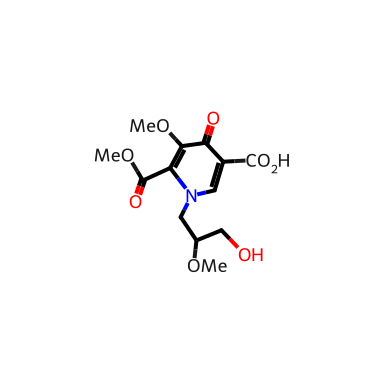 COC(=O)c1c(OC)c(=O)c(C(=O)O)cn1CC(CO)OC